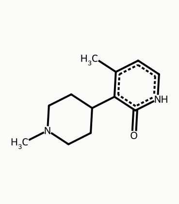 Cc1cc[nH]c(=O)c1C1CCN(C)CC1